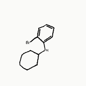 Brc1ccccc1PC1CCCCC1